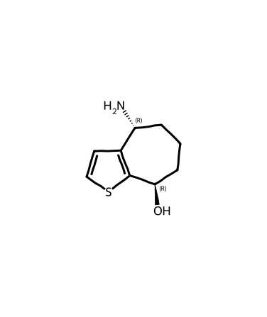 N[C@@H]1CCC[C@@H](O)c2sccc21